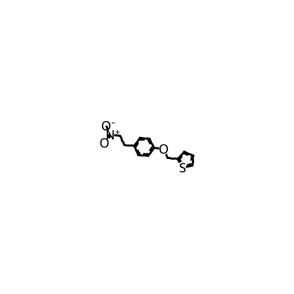 O=[N+]([O-])CCc1ccc(OCc2cccs2)cc1